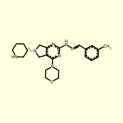 Cc1cccc(/C=N/Nc2nc3c(c(N4CCOCC4)n2)CN([C@H]2CCCNC2)C3)c1